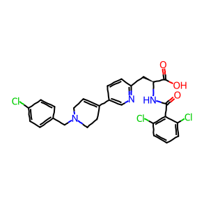 O=C(N[C@@H](Cc1ccc(C2=CCN(Cc3ccc(Cl)cc3)CC2)cn1)C(=O)O)c1c(Cl)cccc1Cl